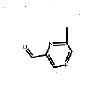 Cc1cncc(C=O)n1